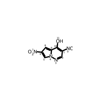 [C-]#[N+]c1cnn2cc([N+](=O)[O-])cc2c1O